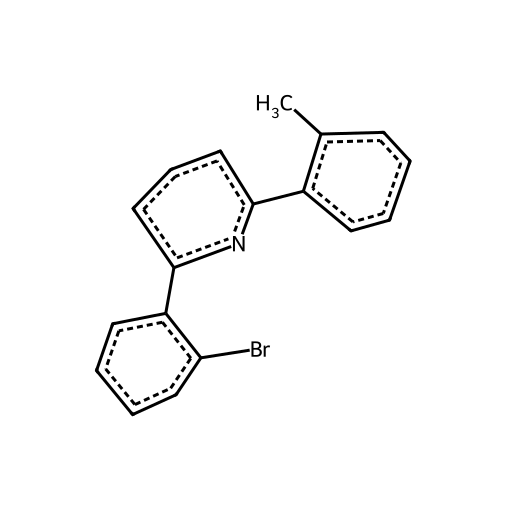 Cc1ccccc1-c1cccc(-c2ccccc2Br)n1